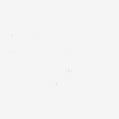 O=C(Nc1ccccc1)c1cc(S(=O)(=O)O)ccc1O